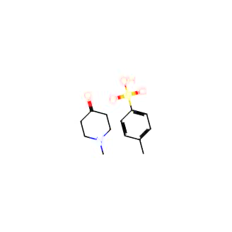 CN1CCC(=O)CC1.Cc1ccc(S(=O)(=O)O)cc1